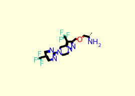 C[C@H](N)COCc1nn2c(c1C(F)(F)F)CN(c1ncc(C(F)(F)F)cn1)CC2